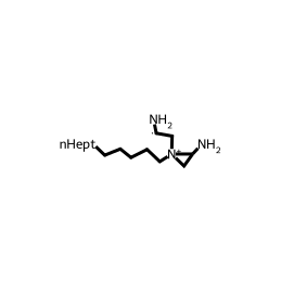 CCCCCCCCCCCC[N+]1(C[CH]N)CC1N